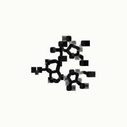 Nc1ncnc2c1ncn2[C@@H]1O[C@H](CO)[C@@H](O)[C@H]1O.O=P(O)(O)[C]1O[C@H](CO)[C@@H](O)[C@H]1O